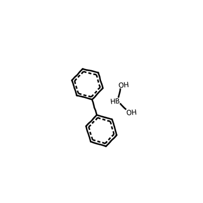 OBO.c1ccc(-c2ccccc2)cc1